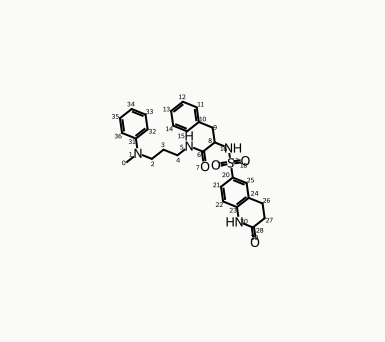 CN(CCCNC(=O)C(Cc1ccccc1)NS(=O)(=O)c1ccc2c(c1)CCC(=O)N2)c1ccccc1